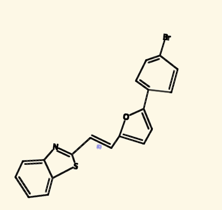 Brc1ccc(-c2ccc(/C=C/c3nc4ccccc4s3)o2)cc1